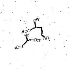 CCCC(CCN)OC(C)=O.CCCCCCCCC(Br)CCCCCCCC